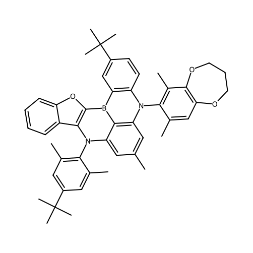 Cc1cc2c3c(c1)N(c1c(C)cc(C(C)(C)C)cc1C)c1c(oc4ccccc14)B3c1cc(C(C)(C)C)ccc1N2c1c(C)cc2c(c1C)OCCCO2